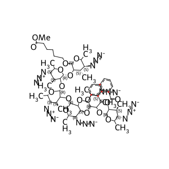 COC(=O)CCCCCO[C@H]1OC(C)[C@@H](N=[N+]=[N-])[C@H](C)C1O[C@H]1OC(C)[C@@H](N=[N+]=[N-])[C@H](C)C1O[C@H]1OC(C)[C@@H](N=[N+]=[N-])[C@H](C)C1O[C@H]1OC(C)[C@@H](N=[N+]=[N-])[C@H](O[C@H]2OC(C)[C@@H](N=[N+]=[N-])[C@H](C)C2O[C@H]2OC(C)[C@@H](N=[N+]=[N-])[C@H](C)C2OC(=O)c2ccccc2)C1OCc1ccccc1